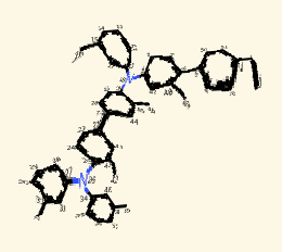 C=Cc1ccc(-c2ccc(N(c3cccc(C)c3)c3ccc(-c4ccc(N(c5cccc(C)c5)c5cccc(C)c5)c(C)c4)cc3C)cc2C)cc1